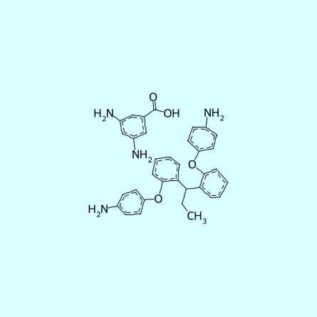 CCC(c1ccccc1Oc1ccc(N)cc1)c1ccccc1Oc1ccc(N)cc1.Nc1cc(N)cc(C(=O)O)c1